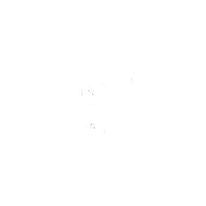 O=C(c1c[nH]c2c(Cl)nccc12)C(F)(F)F